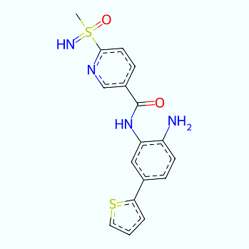 CS(=N)(=O)c1ccc(C(=O)Nc2cc(-c3cccs3)ccc2N)cn1